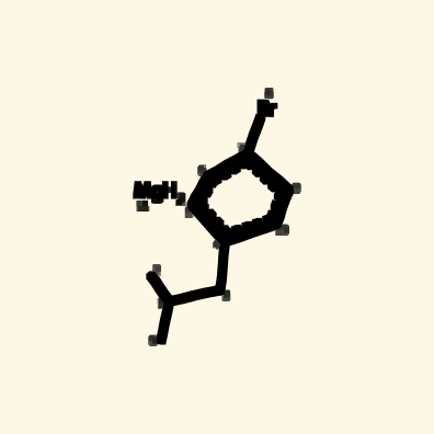 CC(C)Cc1ccc(Br)cc1.[MgH2]